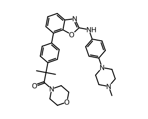 CN1CCN(c2ccc(Nc3nc4cccc(-c5ccc(C(C)(C)C(=O)N6CCOCC6)cc5)c4o3)cc2)CC1